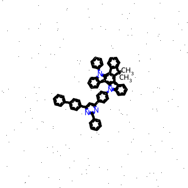 CC1(C)c2ccccc2-c2c1c1c3ccccc3n(-c3ccc(-c4cc(-c5ccc(-c6ccccc6)cc5)nc(-c5ccccc5)n4)cc3)c1c1c3ccccc3n(-c3ccccc3)c21